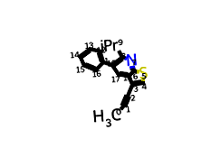 CC#Cc1csc2nc(C(C)C)c(-c3ccccc3)cc12